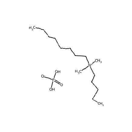 CCCCCCCC[N+](C)(C)CCCCC.O=P([O-])(O)O